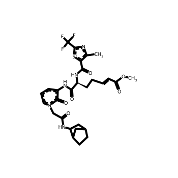 COC(=O)/C=C/CC[C@H](NC(=O)c1sc(C(F)(F)F)nc1C)C(=O)Nc1cccn(CC(=O)NC2CC3CCC2C3)c1=O